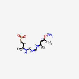 CCC(/C=C(\C)ON)=N\C=N/CNC(CC)CC[SH](=O)=O